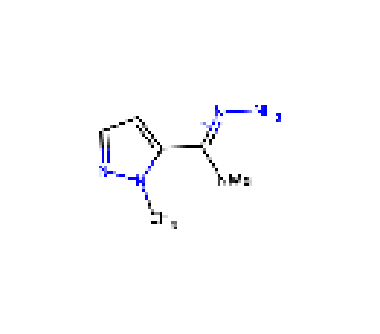 CN/C(=N\N)c1ccnn1C